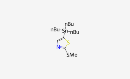 CCC[CH2][Sn]([CH2]CCC)([CH2]CCC)[c]1cnc(SC)s1